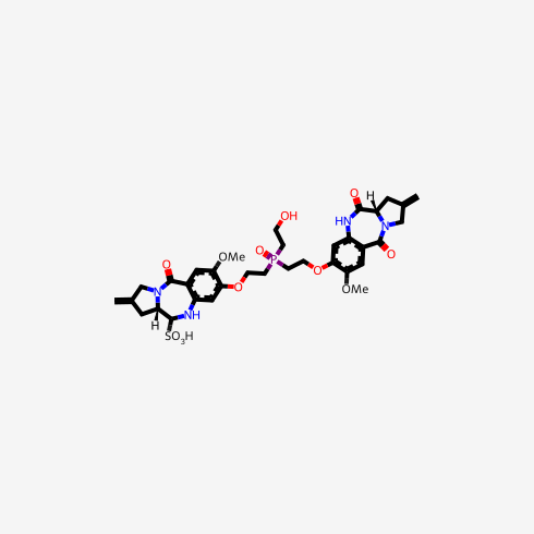 C=C1C[C@H]2C(=O)Nc3cc(OCCP(=O)(CCO)CCOc4cc5c(cc4OC)C(=O)N4CC(=C)C[C@H]4C(S(=O)(=O)O)N5)c(OC)cc3C(=O)N2C1